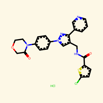 Cl.O=C(NCc1cn(-c2ccc(N3CCOCC3=O)cc2)nc1-c1cccnc1)c1ccc(Cl)s1